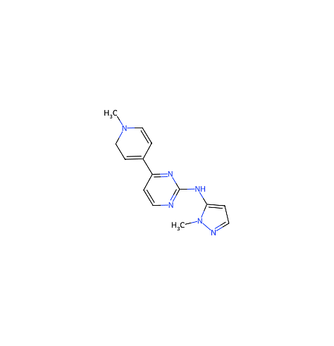 CN1C=CC(c2ccnc(Nc3ccnn3C)n2)=CC1